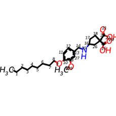 CCCCCCCCCOc1ccc(CNC2CCC(C(=O)O)(C(=O)O)C2)cc1OC